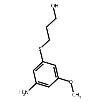 COc1cc(N)cc(SCCCO)c1